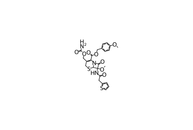 COc1ccc(COC(=O)C2=C(COC(N)=O)CSC3N2C(=O)C3(NC(=O)Cc2cccs2)OC)cc1